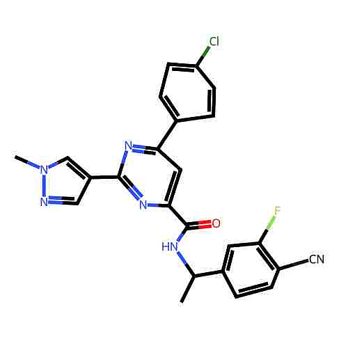 CC(NC(=O)c1cc(-c2ccc(Cl)cc2)nc(-c2cnn(C)c2)n1)c1ccc(C#N)c(F)c1